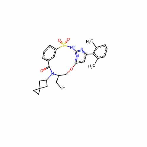 Cc1cccc(C)c1-c1cc2nc(n1)NS(=O)(=O)c1cccc(c1)C(=O)N(C1CC3(CC3)C1)[C@H](CC(C)C)CO2